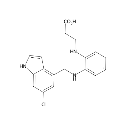 O=C(O)CCNc1ccccc1NCc1cc(Cl)cc2[nH]ccc12